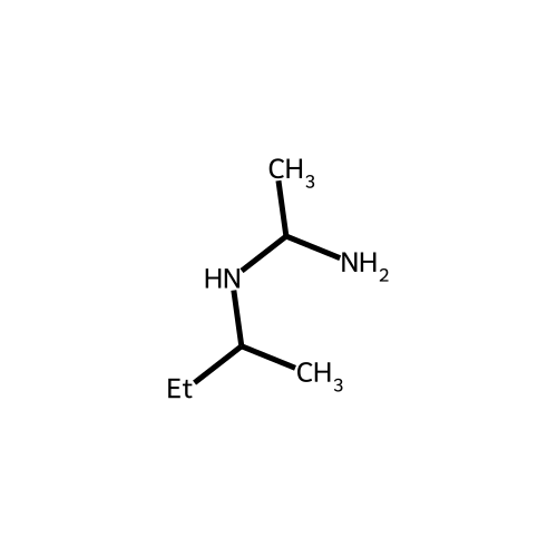 CCC(C)NC(C)N